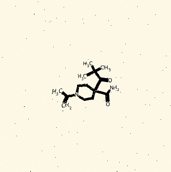 C=C(C)N1CCC(C(N)=O)(C(=O)C(C)(C)C)CC1